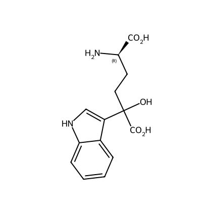 N[C@H](CCC(O)(C(=O)O)c1c[nH]c2ccccc12)C(=O)O